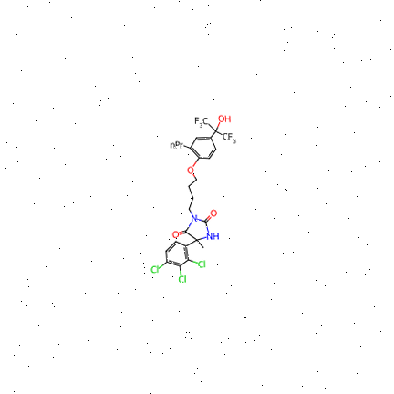 CCCc1cc(C(O)(C(F)(F)F)C(F)(F)F)ccc1OCCCCN1C(=O)NC(C)(c2ccc(Cl)c(Cl)c2Cl)C1=O